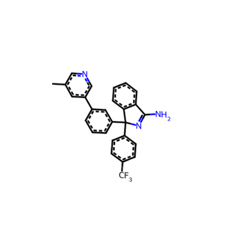 Cc1cncc(-c2cccc(C3(c4ccc(C(F)(F)F)cc4)N=C(N)c4ccccc43)c2)c1